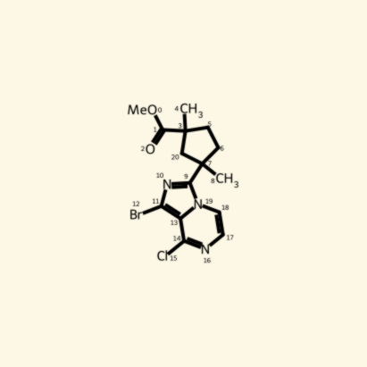 COC(=O)C1(C)CCC(C)(c2nc(Br)c3c(Cl)nccn23)C1